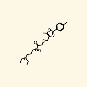 CCN(CC)CCCNC(=O)CSCc1nc(-c2ccc(C)cc2)oc1C